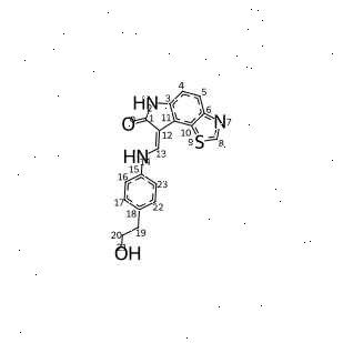 O=C1Nc2ccc3ncsc3c2/C1=C/Nc1ccc(CCO)cc1